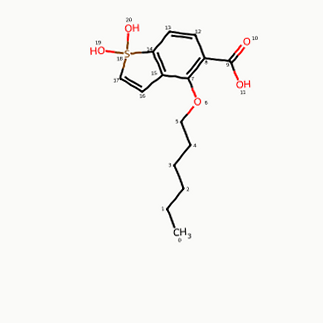 CCCCCCOc1c(C(=O)O)ccc2c1C=CS2(O)O